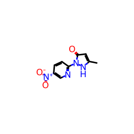 Cc1cc(=O)n(-c2ccc([N+](=O)[O-])cn2)[nH]1